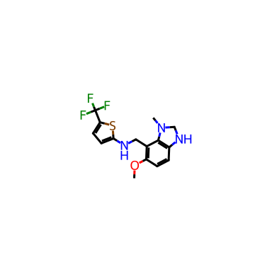 COc1ccc2c(c1CNc1ccc(C(F)(F)F)s1)N(C)CN2